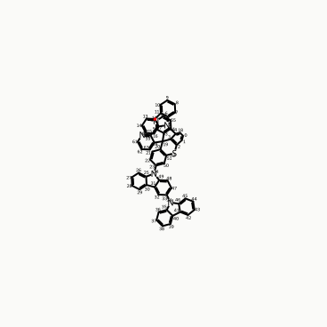 c1cc2c(c(-n3c4ccccc4c4ccccc43)c1)C1(c3ccc(-n4c5ccccc5c5cc(-n6c7ccccc7c7ccccc76)ccc54)cc3S2)c2cccnc2-c2ncccc21